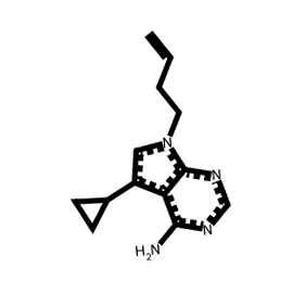 C=CCCn1cc(C2CC2)c2c(N)ncnc21